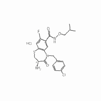 CC(C)CONC(=O)c1cc2c(cc1F)SC[C@H](N)C(=O)N2Cc1ccc(Cl)cc1.Cl